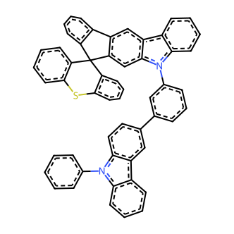 c1ccc(-n2c3ccccc3c3cc(-c4cccc(-n5c6ccccc6c6cc7c(cc65)C5(c6ccccc6Sc6ccccc65)c5ccccc5-7)c4)ccc32)cc1